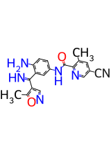 Cc1cc(C#N)cnc1C(=O)Nc1ccc(N)c(C(=N)c2cnoc2C)c1